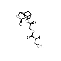 CCC(I)C(=O)OCC(=O)OC1C2CC3C(=O)OC1C3C2